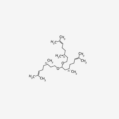 CC(C)=CCC[C@H](C)CCOC(C[C@@H](C)CCC=C(C)C)OCC[C@@H](C)CCC=C(C)C